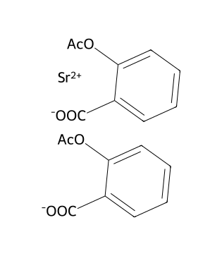 CC(=O)Oc1ccccc1C(=O)[O-].CC(=O)Oc1ccccc1C(=O)[O-].[Sr+2]